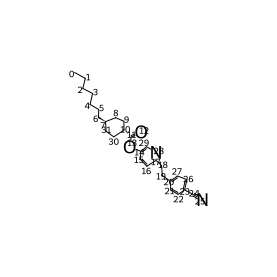 CCCCCCC[C@H]1CC[C@H](C(=O)Oc2ccc(CCc3ccc(C#N)cc3)nc2)CC1